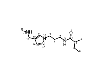 CCC(C)C(=O)NCCCn1cc(CNC)nn1